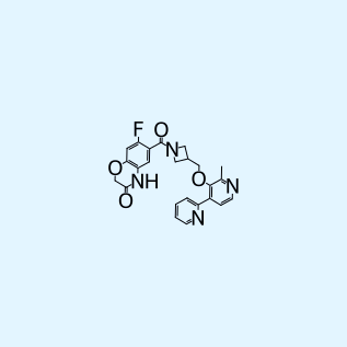 Cc1nccc(-c2ccccn2)c1OCC1CN(C(=O)c2cc3c(cc2F)OCC(=O)N3)C1